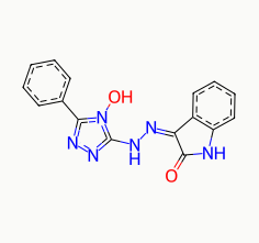 O=C1Nc2ccccc2/C1=N/Nc1nnc(-c2ccccc2)n1O